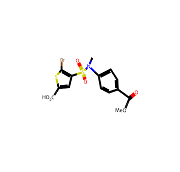 COC(=O)c1ccc(N(C)S(=O)(=O)c2cc(C(=O)O)sc2Br)cc1